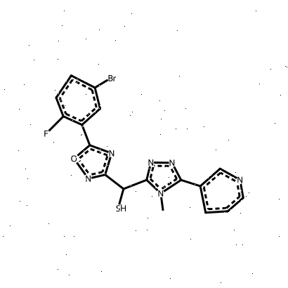 Cn1c(-c2cccnc2)nnc1C(S)c1noc(-c2cc(Br)ccc2F)n1